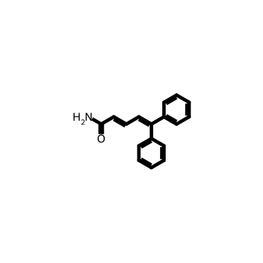 NC(=O)C=CC=C(c1ccccc1)c1ccccc1